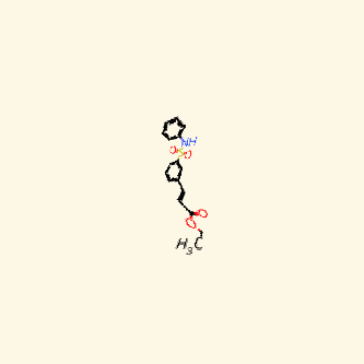 CCOC(=O)/C=C/c1cccc(S(=O)(=O)Nc2ccccc2)c1